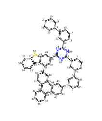 c1ccc(-c2cccc(-c3nc(-c4cccc(-c5ccccc5)c4)nc(-c4cc(-c5ccc6c7ccccc7c7ccccc7c6c5)c5c(c4)sc4ccccc45)n3)c2)cc1